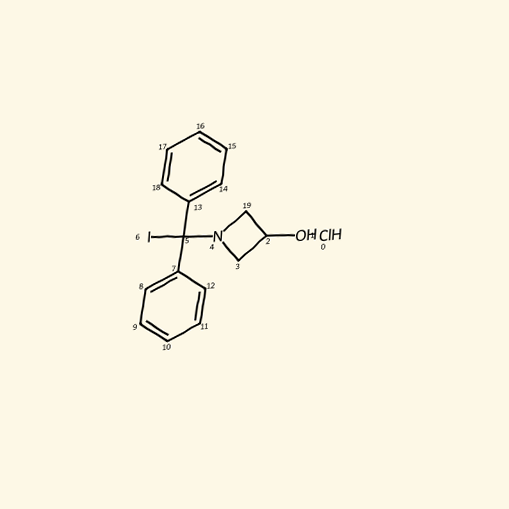 Cl.OC1CN(C(I)(c2ccccc2)c2ccccc2)C1